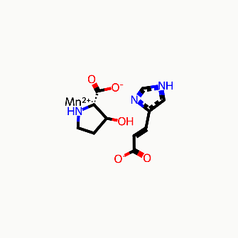 O=C([O-])C=Cc1c[nH]cn1.O=C([O-])[C@H]1NCCC1O.[Mn+2]